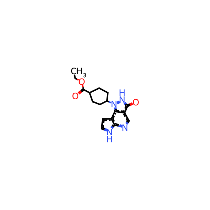 CCOC(=O)C1CCC(n2[nH]c(=O)c3cnc4[nH]ccc4c32)CC1